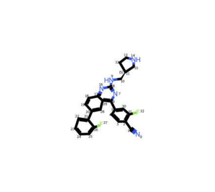 N#Cc1ccc(-c2nc(NC[C@H]3CCNC3)nc3ccc(-c4ccccc4F)cc23)cc1F